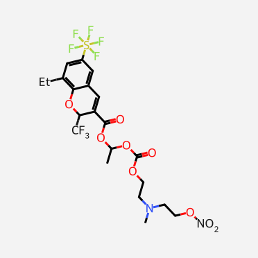 CCc1cc(S(F)(F)(F)(F)F)cc2c1OC(C(F)(F)F)C(C(=O)OC(C)OC(=O)OCCN(C)CCO[N+](=O)[O-])=C2